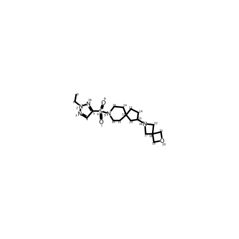 CCn1ncc(S(=O)(=O)N2CCC3(CCC(N4CC5(COC5)C4)C3)CC2)n1